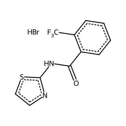 Br.O=C(Nc1nccs1)c1ccccc1C(F)(F)F